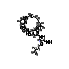 CC1(CCO/C(C=N)=C/Nc2ccc3c(n2)N2CC(CCCCNc4cccc(n4)S(=O)(=O)NC3=O)CC2(C)C)CC1